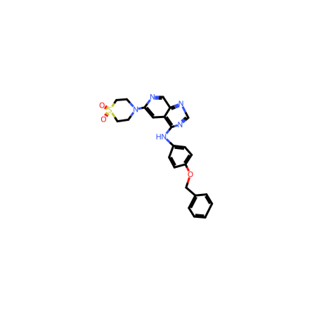 O=S1(=O)CCN(c2cc3c(Nc4ccc(OCc5ccccc5)cc4)ncnc3cn2)CC1